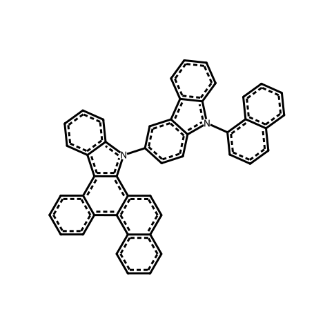 c1ccc2c(-n3c4ccccc4c4cc(-n5c6ccccc6c6c7ccccc7c7c8ccccc8ccc7c65)ccc43)cccc2c1